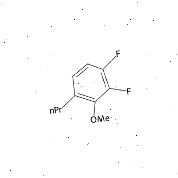 CCCc1ccc(F)c(F)c1OC